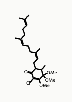 COC1=C(Cl)C(=O)C(CC=C(C)CCC=C(C)CCC=C(C)C)C(C)C1(OC)OC